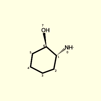 [NH][C@@H]1CCCC[C@H]1O